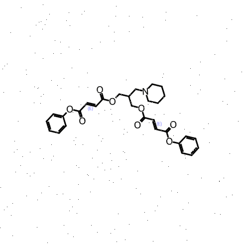 O=C(/C=C/C(=O)Oc1ccccc1)OCC(COC(=O)/C=C/C(=O)Oc1ccccc1)CN1CCCCC1